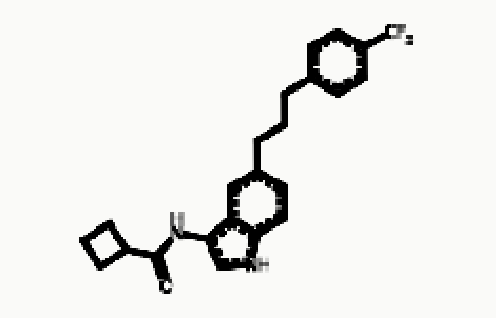 O=C(Nc1c[nH]c2ccc(CCCc3ccc(C(F)(F)F)cc3)cc12)C1CCC1